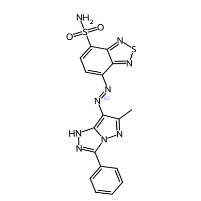 Cc1nn2c(-c3ccccc3)n[nH]c2c1/N=N/c1ccc(S(N)(=O)=O)c2nsnc12